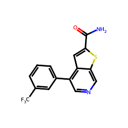 NC(=O)c1cc2c(-c3cccc(C(F)(F)F)c3)cncc2s1